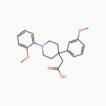 COc1cccc(C2(CC(=O)O)CCN(c3ccccc3OC)CC2)c1